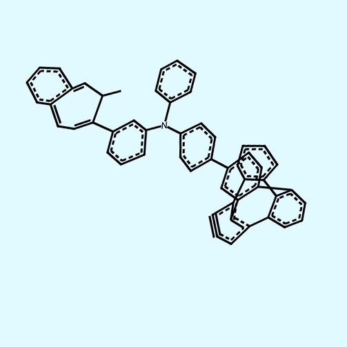 CC1C=c2ccccc2=CC=C1c1cccc(N(c2ccccc2)c2ccc(-c3ccc4c(c3)-c3c5c#ccc3-c3cccc-4c3-c3ccccc3-5)cc2)c1